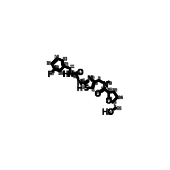 CN(Cc1csc(NC(=O)NCc2cccc(F)c2)n1)C(=O)C1CC[C@H](CO)O1